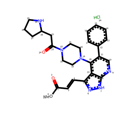 COC(=O)C=Cc1n[nH]c2ncc(-c3ccccc3)c(N3CCN(C(=O)CC4CCCN4)CC3)c12.Cl